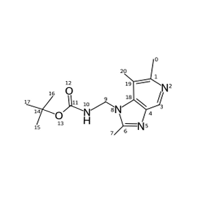 Cc1ncc2nc(C)n(CNC(=O)OC(C)(C)C)c2c1C